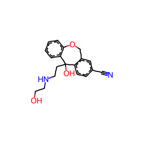 N#Cc1ccc2c(c1)COc1ccccc1C2(O)CCNCCO